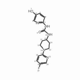 O=C(Nc1ccc(O)cn1)NC1CCN(c2ccc(F)cn2)CC1